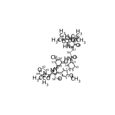 COc1cc2c(cc1-c1cccc(NC(=O)CC[C@@H](NC(=O)OC(C)(C)C)C(=O)OC(C)(C)C)c1)-c1c(c(C(=O)N3CCOCC3(C)C)nn1-c1cc(Cl)cc(Cl)c1)CO2